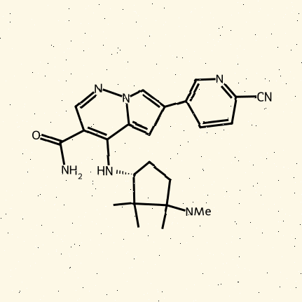 CNC1(C)CC[C@@H](Nc2c(C(N)=O)cnn3cc(-c4ccc(C#N)nc4)cc23)C1(C)C